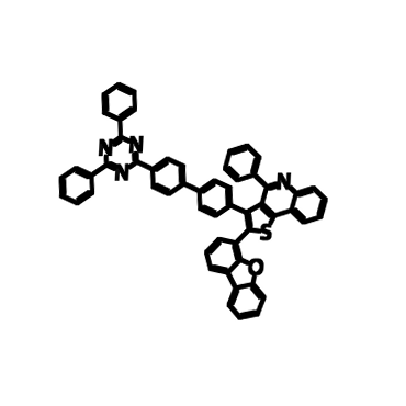 c1ccc(-c2nc(-c3ccccc3)nc(-c3ccc(-c4ccc(-c5c(-c6cccc7c6oc6ccccc67)sc6c5c(-c5ccccc5)nc5ccccc56)cc4)cc3)n2)cc1